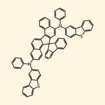 c1ccc(N(c2ccc3c4c(ccc3c2)-c2c(cc(N(c3ccccc3)c3ccc5sc6ccccc6c5c3)c3ccccc23)C42c3ccccc3-c3ccccc32)c2ccc3sc4ccccc4c3c2)cc1